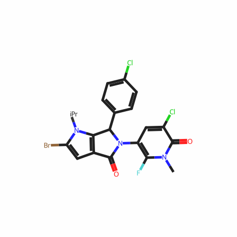 CC(C)n1c(Br)cc2c1C(c1ccc(Cl)cc1)N(c1cc(Cl)c(=O)n(C)c1F)C2=O